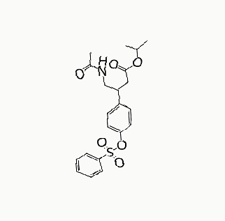 CC(=O)NCC(CC(=O)OC(C)C)c1ccc(OS(=O)(=O)c2ccccc2)cc1